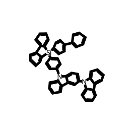 c1ccc(-c2ccc([Si]3(c4ccc(-n5c6ccccc6c6cc(-n7c8ccccc8c8ccccc87)ccc65)cc4)c4ccccc4-c4ccccc43)cc2)cc1